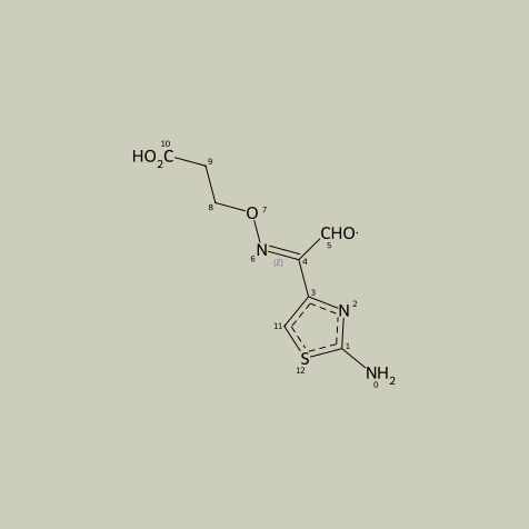 Nc1nc(/C([C]=O)=N/OCCC(=O)O)cs1